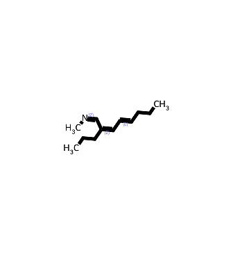 CCC/C=C/C=C(\C=N/C)CCC